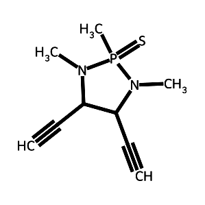 C#CC1C(C#C)N(C)P(C)(=S)N1C